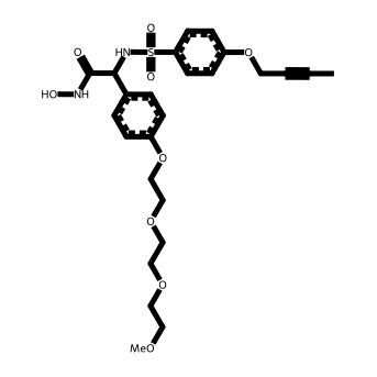 CC#CCOc1ccc(S(=O)(=O)NC(C(=O)NO)c2ccc(OCCOCCOCCOC)cc2)cc1